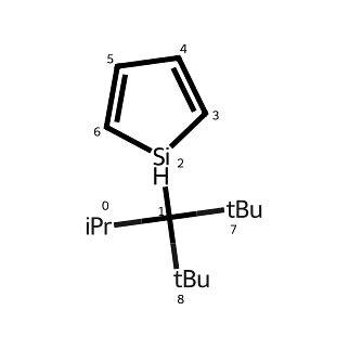 CC(C)C([SiH]1C=CC=C1)(C(C)(C)C)C(C)(C)C